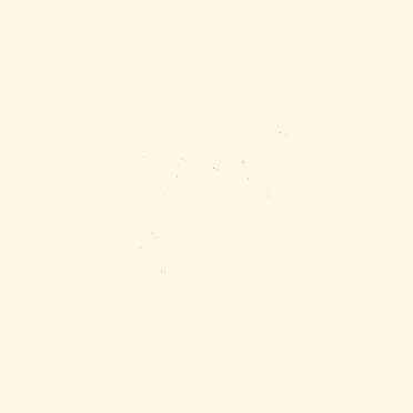 Cl.Cl.O=C1CN2CCC[C@H]2C(=O)N1Cc1cc2c(-c3cc(Cl)cc4ccn(C[C@@H]5CNCCO5)c34)ncnn2c1